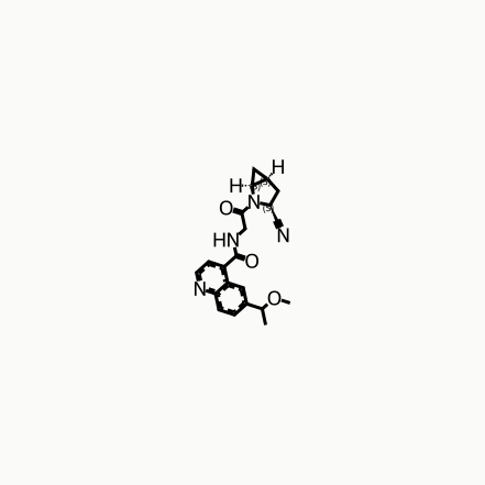 COC(C)c1ccc2nccc(C(=O)NCC(=O)N3[C@H](C#N)C[C@@H]4C[C@@H]43)c2c1